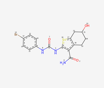 NC(=O)c1c(NC(=O)Nc2ccc(Br)cc2)sc2c1CCC(O)C2